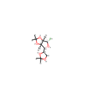 CC1(C)O[C@@H]2[C@H](O1)[C@H](F)O[C@@H]2[C@H]1COC(C)(C)O1